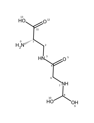 N[C@@H](CNC(=O)CNC(O)O)C(=O)O